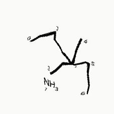 CCC(C)(C)CC.N